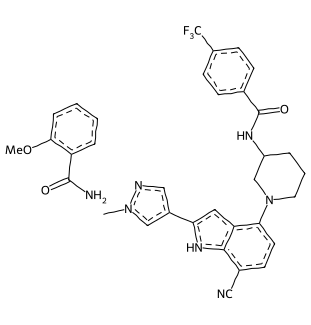 COc1ccccc1C(N)=O.Cn1cc(-c2cc3c(N4CCCC(NC(=O)c5ccc(C(F)(F)F)cc5)C4)ccc(C#N)c3[nH]2)cn1